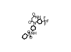 O=C1CC(=O)N(c2ccc(NS(=O)(=O)c3ccccc3)cc2)c2ccc(C(F)(F)F)cc2N1